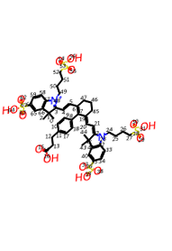 CC1(C)C(/C=C/C2=C(c3ccc(CCC(=O)O)cc3)C(=C/C=C3/N(CCCCS(=O)(=O)O)c4ccc(S(=O)(=O)O)cc4C3(C)C)/CCC2)=[N+](CCCCS(=O)(=O)O)c2ccc(S(=O)(=O)O)cc21